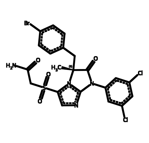 C[C@@]1(Cc2ccc(Br)cc2)C(=O)N(c2cc(Cl)cc(Cl)c2)c2ncc(S(=O)(=O)CC(N)=O)n21